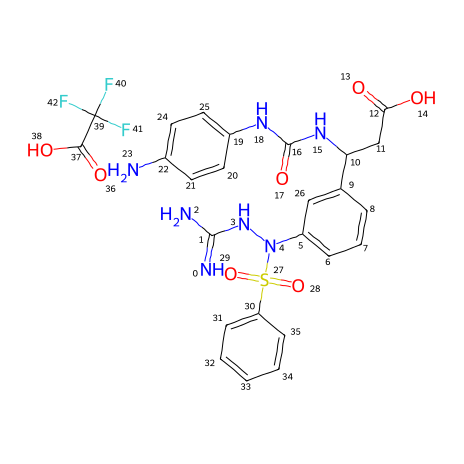 N=C(N)NN(c1cccc(C(CC(=O)O)NC(=O)Nc2ccc(N)cc2)c1)S(=O)(=O)c1ccccc1.O=C(O)C(F)(F)F